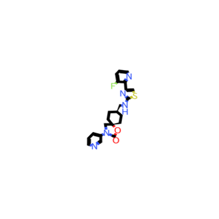 O=C1O[C@]2(CC[C@H](CNc3nc(-c4ncccc4F)cs3)CC2)CN1c1cccnc1